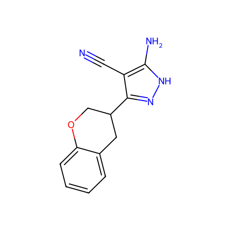 N#Cc1c(C2COc3ccccc3C2)n[nH]c1N